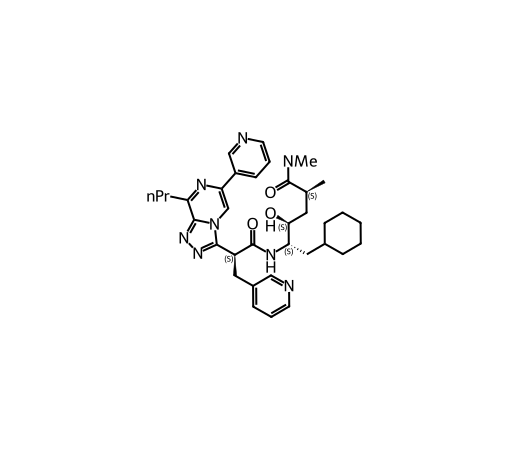 CCCc1nc(-c2cccnc2)cn2c([C@H](Cc3cccnc3)C(=O)N[C@@H](CC3CCCCC3)[C@@H](O)C[C@H](C)C(=O)NC)nnc12